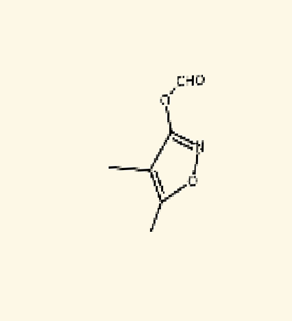 Cc1onc(OC=O)c1C